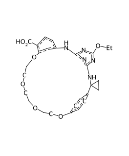 CCOc1nc2nc(n1)NC1(CC1)c1ccc(cc1)OCCOCCOCCOc1cc(ccc1C(=O)O)N2